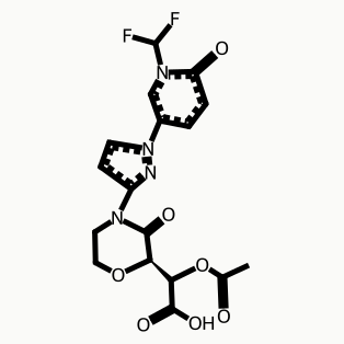 CC(=O)OC(C(=O)O)[C@H]1OCCN(c2ccn(-c3ccc(=O)n(C(F)F)c3)n2)C1=O